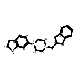 c1ccc2c(c1)CC(CN1CCN(c3ccc4c(c3)OCC4)CC1)C2